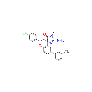 CN1C(=O)C2(CC(c3ccc(Cl)cc3)Oc3ccc(-c4cccc(C#N)c4)cc32)N=C1N